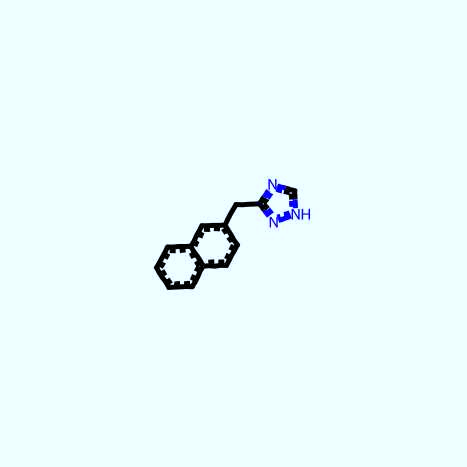 c1ccc2cc(Cc3nc[nH]n3)ccc2c1